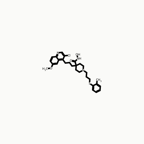 COc1ccc2ncc(Cl)c(CCCC3(C(=O)NO)CCN(CCCSc4ccccc4C)CC3)c2c1